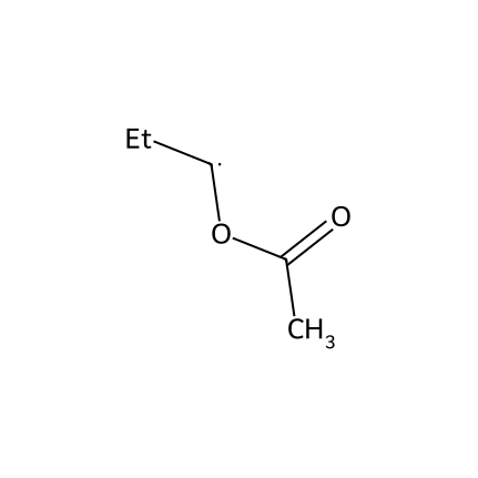 CC[CH]OC(C)=O